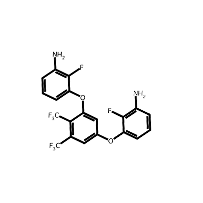 Nc1cccc(Oc2cc(Oc3cccc(N)c3F)c(C(F)(F)F)c(C(F)(F)F)c2)c1F